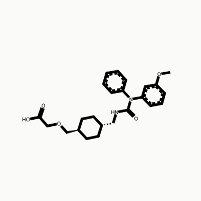 COc1cccc(N(C(=O)NC[C@H]2CC[C@H](COCC(=O)O)CC2)c2ccccc2)c1